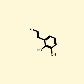 CCCC=Cc1cccc(O)c1O